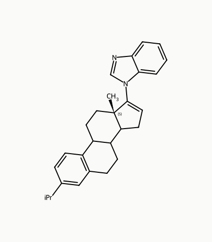 CC(C)c1ccc2c(c1)CCC1C2CC[C@]2(C)C(n3cnc4ccccc43)=CCC12